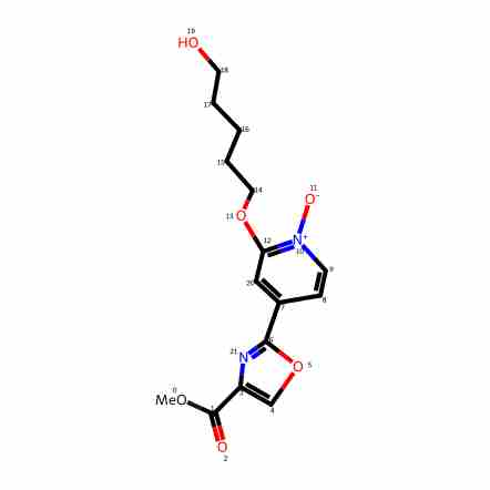 COC(=O)c1coc(-c2cc[n+]([O-])c(OCCCCCO)c2)n1